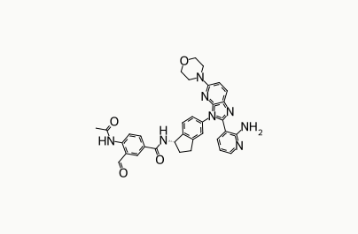 CC(=O)Nc1ccc(C(=O)N[C@H]2CCc3cc(-n4c(-c5cccnc5N)nc5ccc(N6CCOCC6)nc54)ccc32)cc1C=O